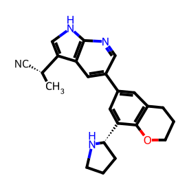 C[C@H](C#N)c1c[nH]c2ncc(-c3cc4c(c([C@@H]5CCCN5)c3)OCCC4)cc12